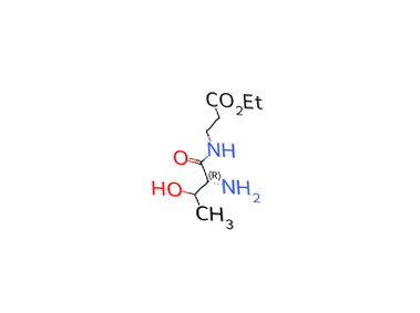 CCOC(=O)CCNC(=O)[C@H](N)C(C)O